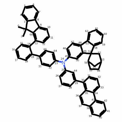 CC1(C)c2ccccc2-c2cccc(-c3ccccc3-c3ccc(N(c4cccc(-c5cccc6c5ccc5ccccc56)c4)c4ccc5c(c4)C4(CC6CCC4C6)c4ccccc4-5)cc3)c21